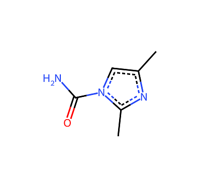 Cc1cn(C(N)=O)c(C)n1